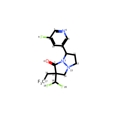 O=C1N2C(c3cncc(F)c3)CCN2CC1(CC(F)(F)F)C(F)F